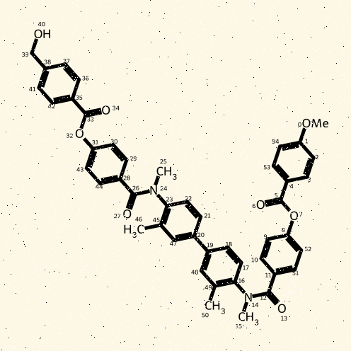 COc1ccc(C(=O)Oc2ccc(C(=O)N(C)c3ccc(-c4ccc(N(C)C(=O)c5ccc(OC(=O)c6ccc(CO)cc6)cc5)c(C)c4)cc3C)cc2)cc1